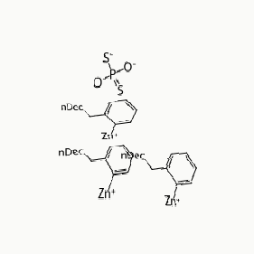 CCCCCCCCCCCc1cccc[c]1[Zn+].CCCCCCCCCCCc1cccc[c]1[Zn+].CCCCCCCCCCCc1cccc[c]1[Zn+].[O-]P([O-])(=S)[S-]